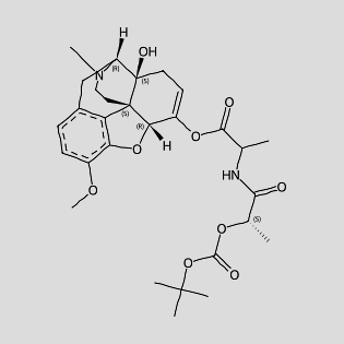 COc1ccc2c3c1O[C@H]1C(OC(=O)C(C)NC(=O)[C@H](C)OC(=O)OC(C)(C)C)=CC[C@@]4(O)[C@@H](C2)N(C)CC[C@]314